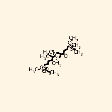 CCO[Si](C)(CCCC(=O)C(CC)CN(CC)CC(CC)C(=O)CCC[Si](C)(OCC)OCC)OCC